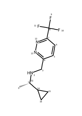 C[C@H](NCc1ccc(C(F)(F)F)nn1)C1CC1